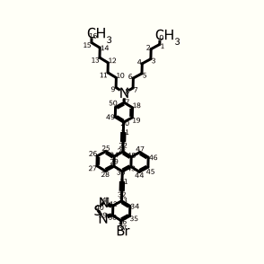 CCCCCCCCN(CCCCCCCC)c1ccc(C#Cc2c3ccccc3c(C#Cc3ccc(Br)c4nsnc34)c3ccccc23)cc1